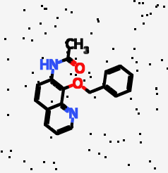 CC(=O)Nc1ccc2cccnc2c1OCc1ccccc1